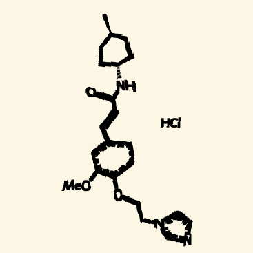 COc1cc(C=CC(=O)N[C@H]2CC[C@H](C)CC2)ccc1OCCn1ccnc1.Cl